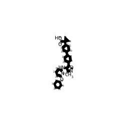 Cc1noc(-c2ccc(-c3ccc(C4(C(=O)O)CC4)cc3)cc2)c1Nc1cccc(OC2CCCCC2)n1